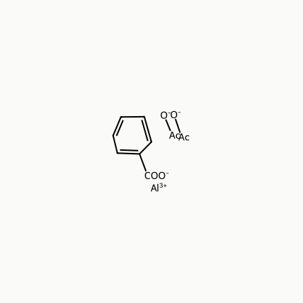 CC(=O)[O-].CC(=O)[O-].O=C([O-])c1ccccc1.[Al+3]